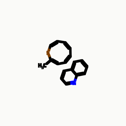 Cc1cccccccs1.c1ccc2ncccc2c1